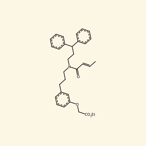 C/C=C/C(=O)N(CCCc1cccc(OCC(=O)OCC)c1)CCC(c1ccccc1)c1ccccc1